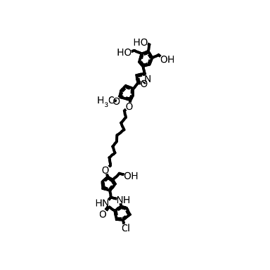 COc1ccc(-c2cc(-c3cc(CO)c(CO)c(CO)c3)no2)cc1OCCCCCCCCCCOc1ccc(C2NC(=O)c3cc(Cl)ccc3N2)cc1CO